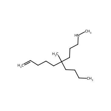 C=CCCCC(C)(CCCC)CCCNC